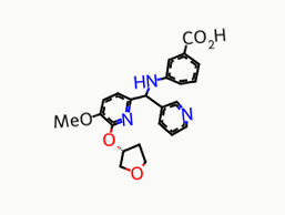 COc1ccc(C(Nc2cccc(C(=O)O)c2)c2cccnc2)nc1O[C@@H]1CCOC1